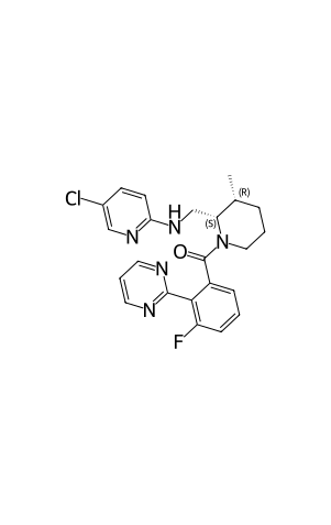 C[C@@H]1CCCN(C(=O)c2cccc(F)c2-c2ncccn2)[C@@H]1CNc1ccc(Cl)cn1